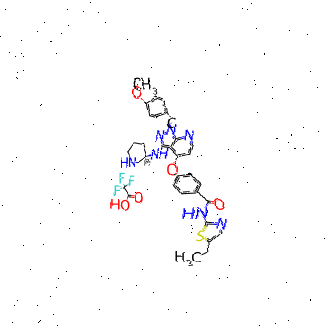 CCc1cnc(NC(=O)c2ccc(Oc3ccnc4c3c(N[C@@H]3CCCNC3)nn4Cc3ccc(OC)cc3)cc2)s1.O=C(O)C(F)(F)F